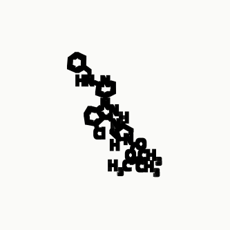 CC(C)(C)OC(=O)N1C[C@@H]2C[C@H]1CN2c1nn(-c2ccnc(NCc3ccccc3)c2)c2cccc(Cl)c12